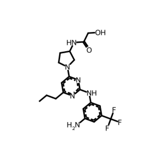 CCCc1cc(N2CCC(NC(=O)CO)C2)nc(Nc2cc(N)cc(C(F)(F)F)c2)n1